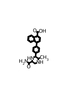 CC1NCC(C(N)=O)NC1c1ccc(-c2ccc(C(=O)O)c3ccccc23)cc1